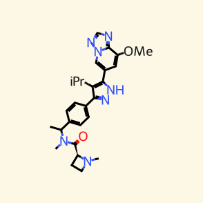 COc1cc(-c2[nH]nc(-c3ccc(C(C)N(C)C(=O)[C@@H]4CCN4C)cc3)c2C(C)C)cn2ncnc12